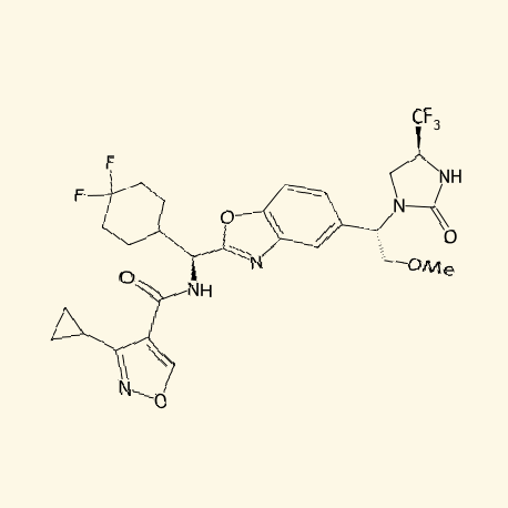 COC[C@H](c1ccc2oc([C@@H](NC(=O)c3conc3C3CC3)C3CCC(F)(F)CC3)nc2c1)N1C[C@@H](C(F)(F)F)NC1=O